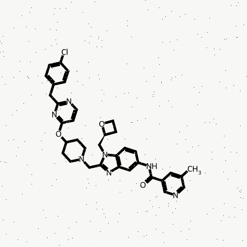 Cc1cncc(C(=O)Nc2ccc3c(c2)nc(CN2CCC(Oc4ccnc(Cc5ccc(Cl)cc5)n4)CC2)n3C[C@@H]2CCO2)c1